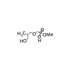 COP(=O)(O)COCC(C)CO